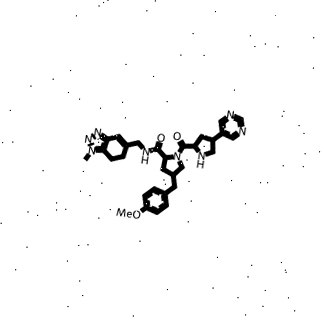 COc1ccc(CC2CC(C(=O)NCC3=Cc4nnn(C)c4CC3)N(C(=O)C3CC(c4cncnc4)CN3)C2)cc1